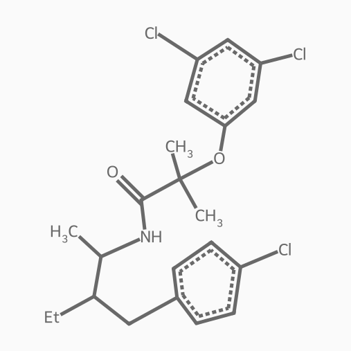 CCC(Cc1ccc(Cl)cc1)C(C)NC(=O)C(C)(C)Oc1cc(Cl)cc(Cl)c1